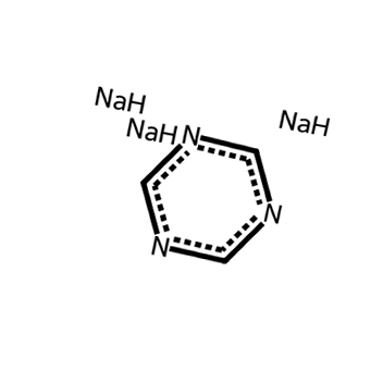 [NaH].[NaH].[NaH].c1ncncn1